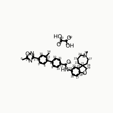 Cc1nc(-c2ccc(-c3ccc(C(=O)Nc4ccc5c(c4)C4(CCCN(C)CC4)CO5)cc3)c(C)c2)no1.O=C(O)C(=O)O